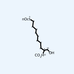 CCCCCCCCCCCCCCCCC(CO)C(=O)O